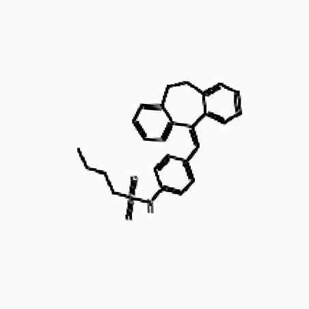 CCCCS(=O)(=O)Nc1ccc(C=C2c3ccccc3CCc3ccccc32)cc1